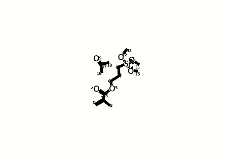 C=C(C)C(=O)OCCC[Si](OC)(OC)OC.CC(C)=O